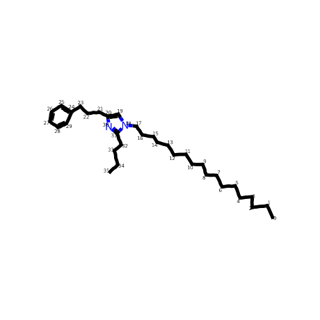 CCCCCCCCCCCCCCCCCCn1cc(CCCc2ccccc2)nc1CCCC